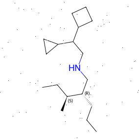 CCC[C@@H](CNCC(C1CCC1)C1CC1)[C@@H](C)CC